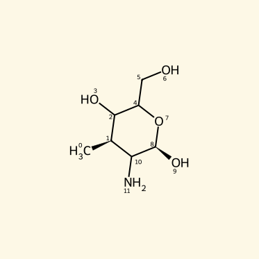 C[C@H]1C(O)C(CO)O[C@@H](O)C1N